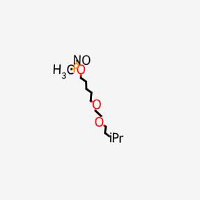 CC(C)CCOCCOCCCCCOP(C)N=O